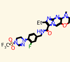 CCc1nc2nc3c(cn2c1C(=O)NCc1ccc(N2CCN(S(=O)(=O)C(F)(F)F)C=N2)c(F)c1)OCCN3C